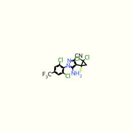 N#Cc1nn(-c2c(Cl)cc(C(F)(F)F)cc2Cl)c(N)c1C1(F)CC1(Cl)Cl